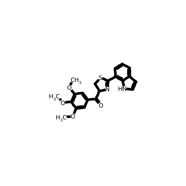 COc1cc(C(=O)C2CSC(c3cccc4cc[nH]c34)=N2)cc(OC)c1OC